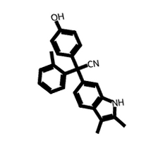 Cc1ccccc1C(C#N)(c1ccc(O)cc1)c1ccc2c(C)c(C)[nH]c2c1